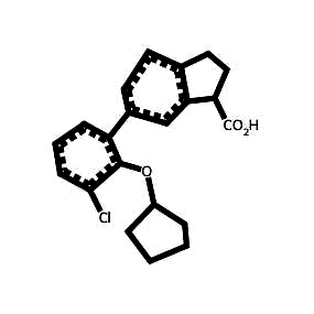 O=C(O)C1CCc2ccc(-c3cccc(Cl)c3OC3CCCC3)cc21